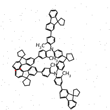 Cc1cc(-c2ccc3c(c2)C2(CCCC2)c2ccccc2-3)ccc1N(c1ccc(C2(c3ccc(N(c4ccc(-c5ccc6c(c5)C5(CCCC5)c5ccccc5-6)cc4C)c4ccc(-c5ccc6c(c5)C5(CCCC5)c5ccccc5-6)cc4C)cc3)CCCC2)cc1)c1ccc(-c2ccc3c(c2)C2(CCCC2)c2ccccc2-3)cc1C